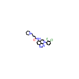 O=C(/C=C/CN1CCCCC1)Nc1ccc2ncnc3c2c1C=CN3c1cccc(Cl)c1F